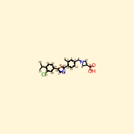 Cc1cc(CN2CC(C(=O)O)C2)ccc1-c1ncc(-c2ccc(C(C)C)c(Cl)c2)s1